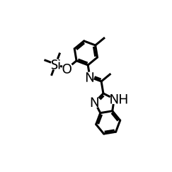 CC(=Nc1cc(C)ccc1O[Si](C)(C)C)c1nc2ccccc2[nH]1